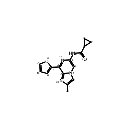 Cc1cn2cc(NC(=O)C3CC3)nc(-c3ccco3)c2n1